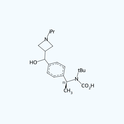 CC(C)N1CC(C(O)c2ccc([C@H](C)N(C(=O)O)C(C)(C)C)cc2)C1